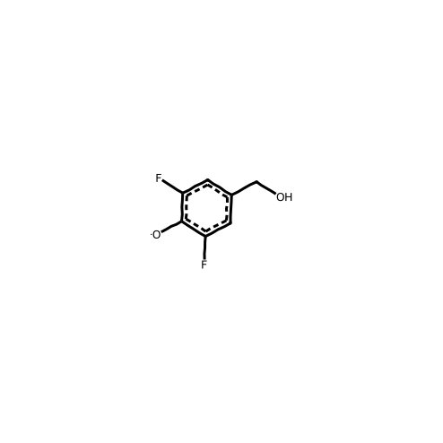 [O]c1c(F)cc(CO)cc1F